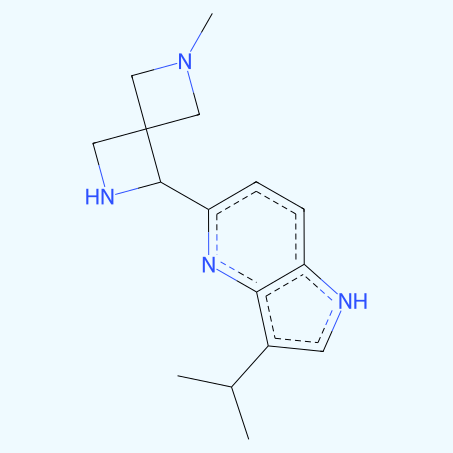 CC(C)c1c[nH]c2ccc(C3NCC34CN(C)C4)nc12